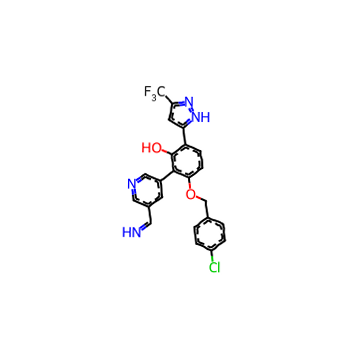 N=Cc1cncc(-c2c(OCc3ccc(Cl)cc3)ccc(-c3cc(C(F)(F)F)n[nH]3)c2O)c1